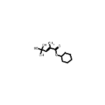 CC(=CC(O)(O)O)C(=O)OC1CCCCC1